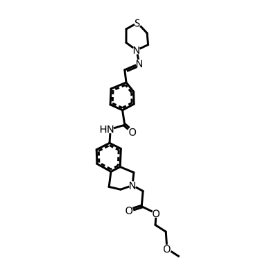 COCCOC(=O)CN1CCc2ccc(NC(=O)c3ccc(C=NN4CCSCC4)cc3)cc2C1